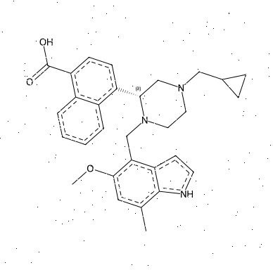 COc1cc(C)c2[nH]ccc2c1CN1CCN(CC2CC2)C[C@H]1c1ccc(C(=O)O)c2ccccc12